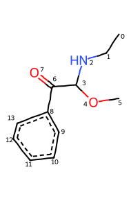 CCNC(OC)C(=O)c1ccccc1